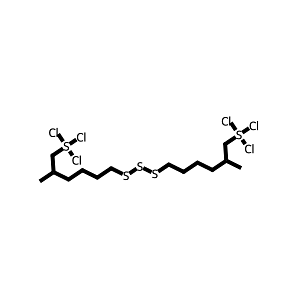 CC(CCCCSSSCCCCC(C)CS(Cl)(Cl)Cl)CS(Cl)(Cl)Cl